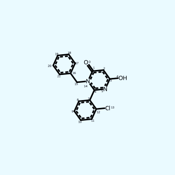 O=c1cc(O)nc(-c2ccccc2Cl)n1Cc1ccccc1